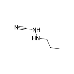 CCCNNC#N